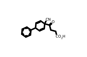 N#CC1(C(=O)CCC(=O)O)C=CC(c2ccccc2)C=C1